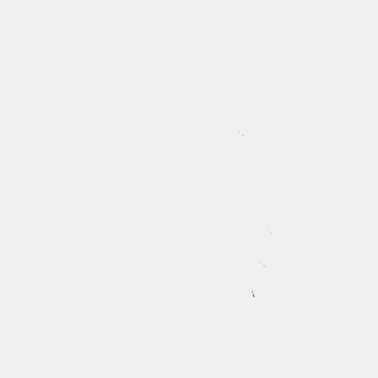 Cc1oc(=O)oc1CN1CCc2cc(NS(=O)(=O)c3ccc(NC(=O)N[C@@H](C)c4cccc(Cl)c4Cl)cc3)ccc2C1